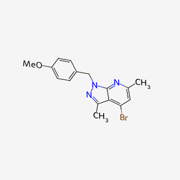 COc1ccc(Cn2nc(C)c3c(Br)cc(C)nc32)cc1